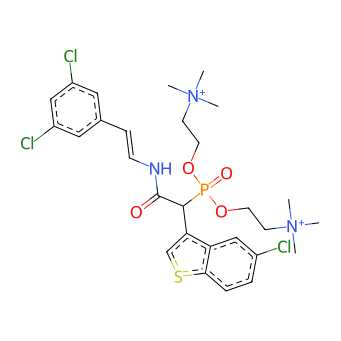 C[N+](C)(C)CCOP(=O)(OCC[N+](C)(C)C)C(C(=O)NC=Cc1cc(Cl)cc(Cl)c1)c1csc2ccc(Cl)cc12